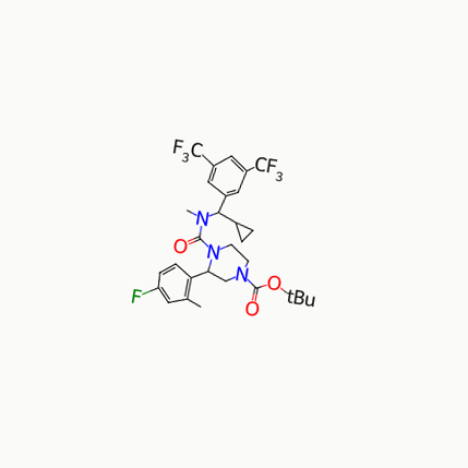 Cc1cc(F)ccc1C1CN(C(=O)OC(C)(C)C)CCN1C(=O)N(C)C(c1cc(C(F)(F)F)cc(C(F)(F)F)c1)C1CC1